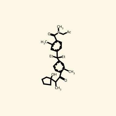 CCC(CC)(c1ccc(C(=O)C(C)C2(O)CCCC2)c(C)c1)c1ccc(C(=O)N(C)CC(C)=O)c(C)c1